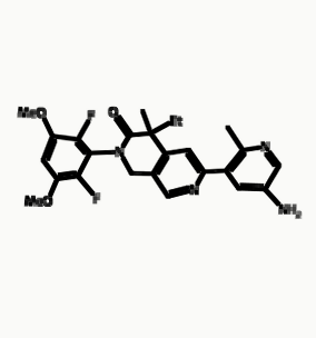 CCC1(C)C(=O)N(c2c(F)c(OC)cc(OC)c2F)Cc2cnc(-c3cc(N)cnc3C)cc21